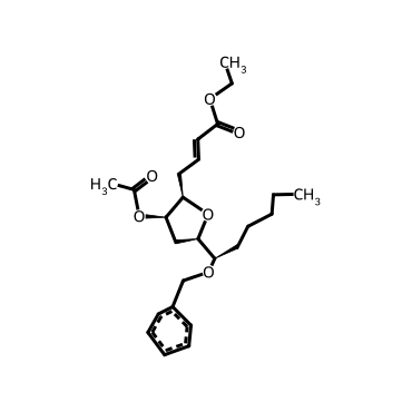 CCCCC[C@@H](OCc1ccccc1)[C@H]1C[C@@H](OC(C)=O)[C@@H](C/C=C/C(=O)OCC)O1